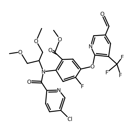 COCC(COC)N(C(=O)c1ccc(Cl)cn1)c1cc(F)c(Oc2ncc(C=O)cc2C(F)(F)F)cc1C(=O)OC